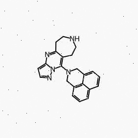 c1cc2c3c(cccc3c1)CN(c1c3c(nc4ccnn14)CCNCC3)C2